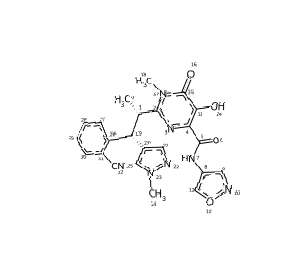 C[C@H](c1nc(C(=O)Nc2cnoc2)c(O)c(=O)n1C)[C@H](c1cnn(C)c1)c1ccccc1C#N